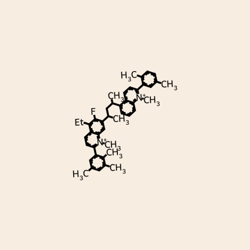 CCc1c(F)c(C(C)CC(C)c2cccc3c2ccc(-c2cc(C)ccc2C)[n+]3C)cc2c1ccc(-c1cc(C)cc(C)c1C)[n+]2C